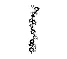 Cc1cccc(C(=O)NC2CC(n3cnc4c(NCCC5CCN(C(=O)CNc6ccc7c(c6)C(=O)N([C@H]6CCC(=O)NC6=O)C7=O)CC5)ncnc43)C2)n1